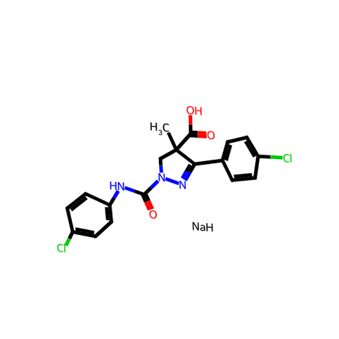 CC1(C(=O)O)CN(C(=O)Nc2ccc(Cl)cc2)N=C1c1ccc(Cl)cc1.[NaH]